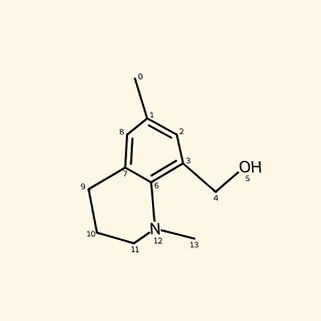 Cc1cc(CO)c2c(c1)CCCN2C